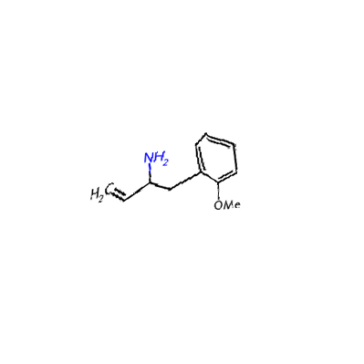 C=CC(N)Cc1ccccc1OC